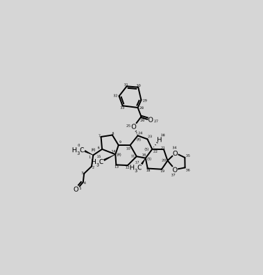 C[C@H](CCC=O)C1CCC2C3C(CC[C@@]21C)[C@@]1(C)CCC2(C[C@@H]1C[C@H]3OC(=O)c1ccccc1)OCCO2